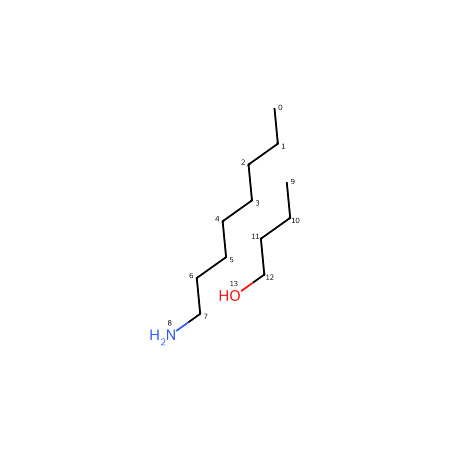 CCCCCCCCN.CCCCO